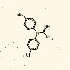 CCCCc1ccc(N(C(=N)N)c2ccc(CCCC)cc2)cc1